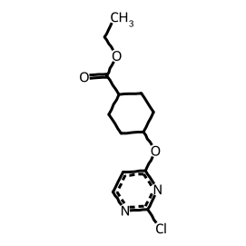 CCOC(=O)C1CCC(Oc2ccnc(Cl)n2)CC1